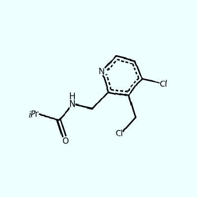 CC(C)C(=O)NCc1nccc(Cl)c1CCl